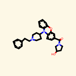 O=C(c1ccc2c(c1)Oc1ccccc1N2C1CCN(CCc2ccccc2)CC1)N1CCC(O)C1